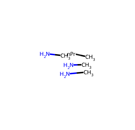 CN.CN.CN.C[CH]CC